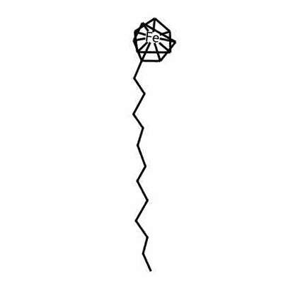 CCCCCCCCCCCC[C]12[CH]3[CH]4[CH]5[CH]1[Fe]45321678[CH]2[CH]1[CH]6[CH]7[CH]28